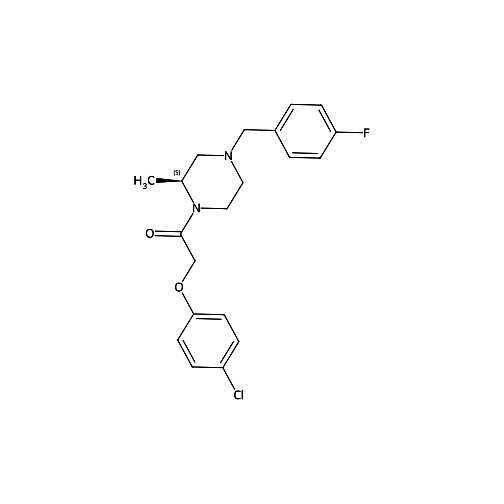 C[C@H]1CN(Cc2ccc(F)cc2)CCN1C(=O)COc1ccc(Cl)cc1